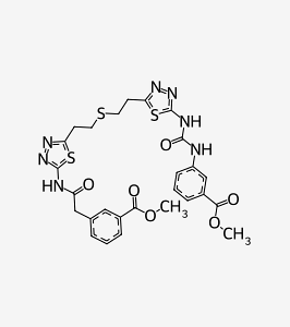 COC(=O)c1cccc(CC(=O)Nc2nnc(CCSCCc3nnc(NC(=O)Nc4cccc(C(=O)OC)c4)s3)s2)c1